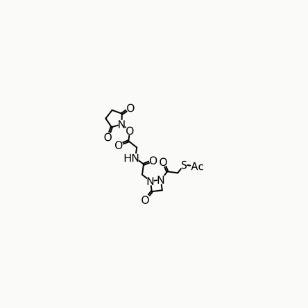 CC(=O)SCC(=O)N1CC(=O)N1CC(=O)NCC(=O)ON1C(=O)CCC1=O